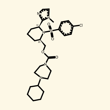 Cn1ccnc1[C@@H]1CCC[C@H](COC(=O)N2CCN(C3CCCCC3)CC2)N1S(=O)(=O)c1ccc(Cl)cc1